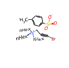 CCCCCC[N+](CC#CBr)(CCCCCC)CCCCCC.Cc1ccc(S(=O)(=O)[O-])cc1